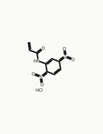 C=CC(=O)NC1=CC(=S(=O)=O)C=CC1=S(=O)=O.Cl